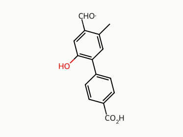 Cc1cc(-c2ccc(C(=O)O)cc2)c(O)cc1[C]=O